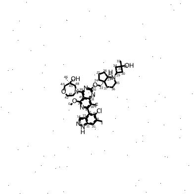 COc1nc(-c2c(Cl)c(C)cc3[nH]ncc23)c(F)c2nc(OC[C@]34CCC[C@H]3N(C3CC(C)(O)C3)CCC4)nc(N3CCOC[C@@](C)(O)C3)c12